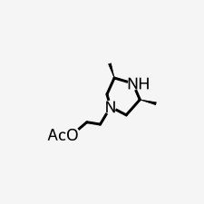 CC(=O)OCCN1C[C@@H](C)N[C@@H](C)C1